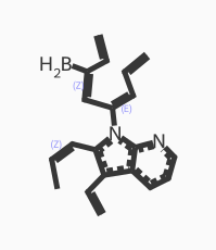 B/C(C=C)=C/C(=C\C=C)n1c(/C=C\C)c(C=C)c2cccnc21